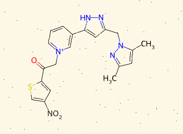 Cc1cc(C)n(Cc2cc(-c3ccc[n+](CC(=O)c4cc([N+](=O)[O-])cs4)c3)[nH]n2)n1